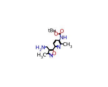 Cc1nc(-c2onc(C)c2CN)ccc1NC(=O)OC(C)(C)C